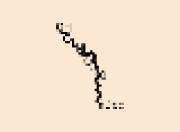 CCCCCCCCCCCCCCCC(=O)OCc1ccc(CNCCOCCO)o1